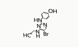 C#CCNc1nc(Nc2ccc(O)cc2)ncc1Br